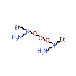 CCC=CCN(CCCN)CCOCCOCCOCCN(CC=CCC)CCCN